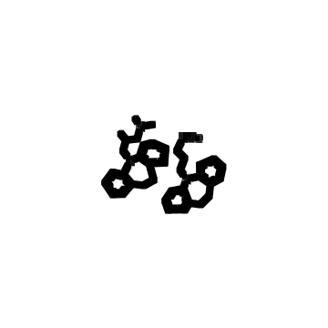 CC(CN(C)C)CN1c2ccccc2CCc2ccccc21.CNCCCN1c2ccccc2CCc2ccccc21